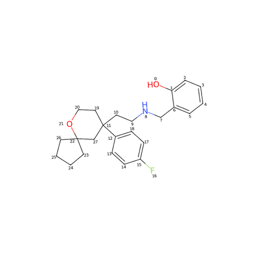 Oc1ccccc1CNCCC1(c2ccc(F)cc2)CCOC2(CCCC2)C1